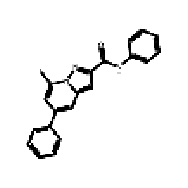 O=C(Nc1ccccc1)c1cc2cc(-c3ccccc3)cc(I)n2n1